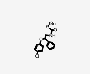 CC(C)(C)OC(=O)NCC(Oc1ccc(Cl)cc1)c1ccccc1